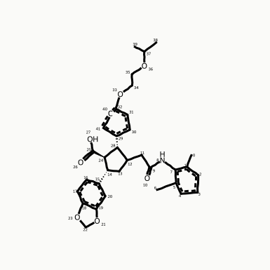 Cc1cccc(C)c1NC(=O)CC1C[C@H](c2ccc3c(c2)OCO3)[C@@H](C(=O)O)[C@@H]1c1ccc(OCCOC(C)C)cc1